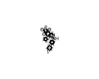 CN1CCN(c2ccc(Nc3ncc4c(n3)N(C3CCCC3)C(=O)C3(CC(=O)N(C)C3=O)C4)cc2)CC1